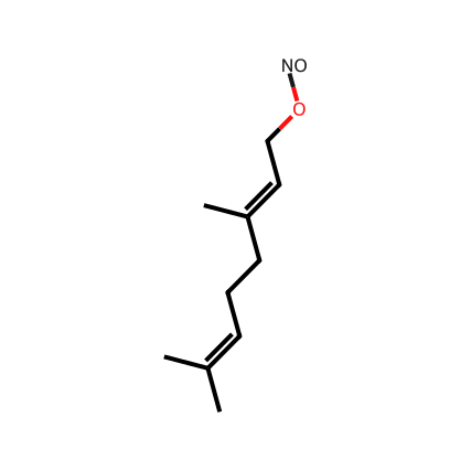 CC(C)=CCC/C(C)=C/CON=O